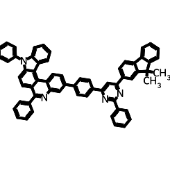 CC1(C)c2ccccc2-c2ccc(-c3cc(-c4ccc(-c5ccc6c(c5)nc(-c5ccccc5)c5ccc7c(c8ccccc8n7-c7ccccc7)c56)cc4)nc(-c4ccccc4)n3)cc21